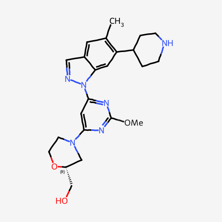 COc1nc(N2CCO[C@@H](CO)C2)cc(-n2ncc3cc(C)c(C4CCNCC4)cc32)n1